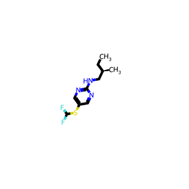 CC[C@@H](C)CNc1ncc(SC(F)F)cn1